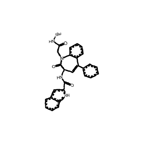 CC(C)(C)NC(=O)CN1C(=O)C(NC(=O)c2cc3ccccc3[nH]2)C=C(c2ccccc2)c2ccccc21